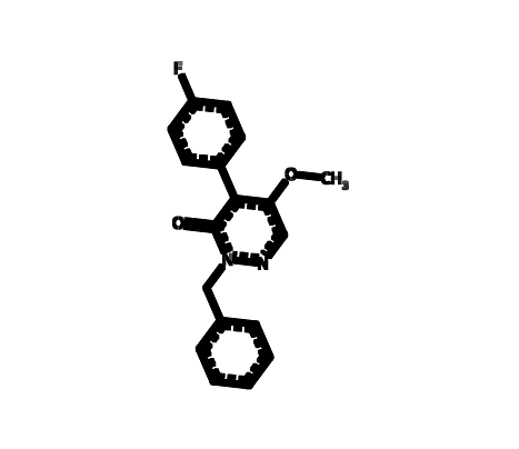 COc1cnn(Cc2ccccc2)c(=O)c1-c1ccc(F)cc1